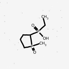 CCP(=O)(O)C1CCCP1(C)=O